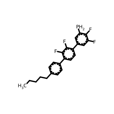 CCCCCc1ccc(-c2ccc(-c3cc(F)c(F)c(P)c3)c(F)c2F)cc1